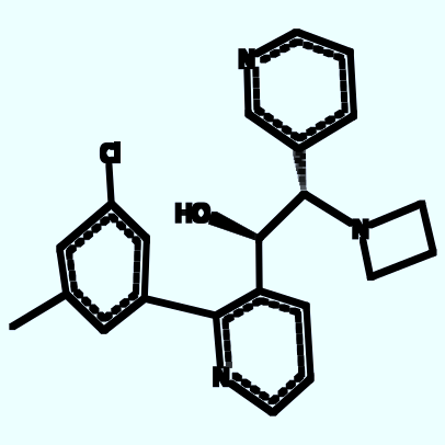 Cc1cc(Cl)cc(-c2ncccc2[C@@H](O)[C@H](c2cccnc2)N2CCC2)c1